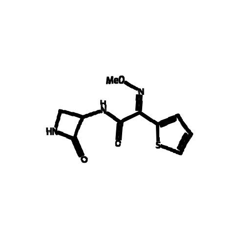 CO/N=C(\C(=O)NC1CNC1=O)c1cccs1